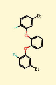 CCc1ccc(F)c(Oc2ccccc2Oc2cc(CC)ccc2F)c1